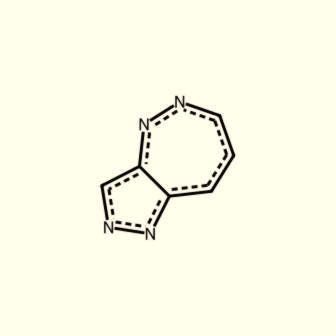 c1cnnc2cnnc-2c1